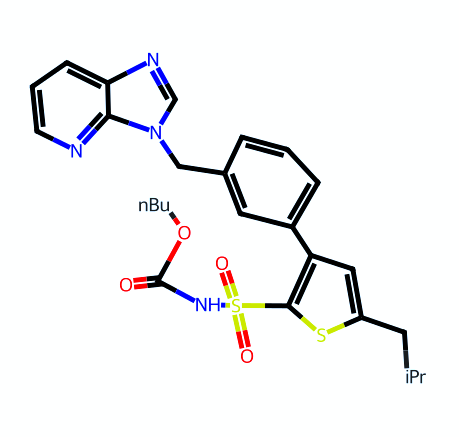 CCCCOC(=O)NS(=O)(=O)c1sc(CC(C)C)cc1-c1cccc(Cn2cnc3cccnc32)c1